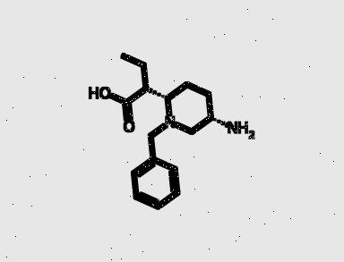 CCC(C(=O)O)[C@@H]1CC[C@H](N)CN1Cc1ccccc1